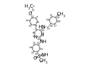 CCOc1ccc(-c2cnc(Nc3cccc(S(C)(=N)=O)c3)nc2NCc2ccc(C)cc2)cc1